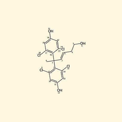 CC(C=CCCO)(c1c(Cl)cc(O)cc1Cl)c1c(Cl)cc(O)cc1Cl